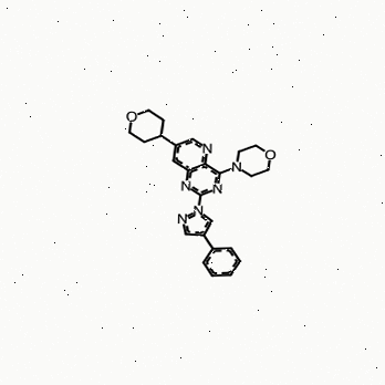 c1ccc(-c2cnn(-c3nc(N4CCOCC4)c4ncc(C5CCOCC5)cc4n3)c2)cc1